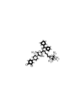 CC(OC(=O)C(CCCCB1OC(C)(C)C(C)(C)O1)N=C(c1ccccc1)c1ccccc1)C(N1CCN(c2ccc(Cl)c(Cl)c2)CC1)C(C)(C)C